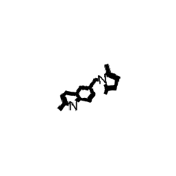 Cc1ccc2cc(Cn3c(C)ccc3C)ccc2n1